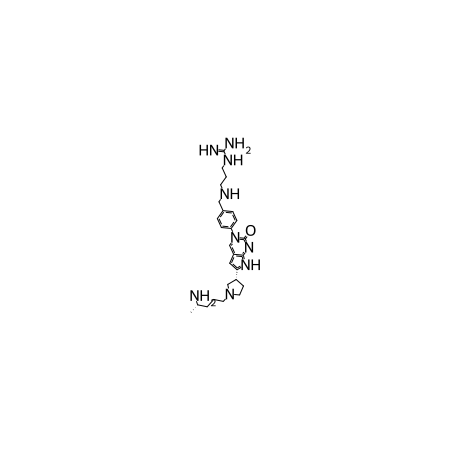 C[C@H](N)CCCN1CC[C@@H](c2cc3cn(-c4ccc(CNCCCNC(=N)N)cc4)c(=O)nc3[nH]2)C1